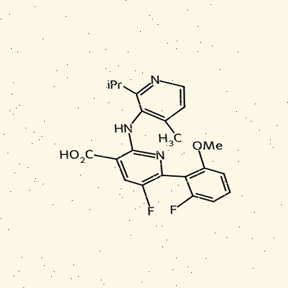 COc1cccc(F)c1-c1nc(Nc2c(C)ccnc2C(C)C)c(C(=O)O)cc1F